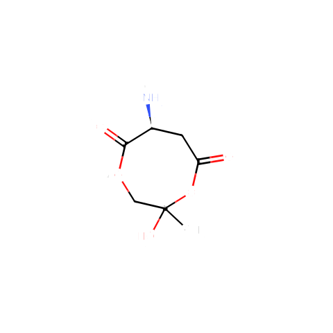 CC1(O)COC(=O)[C@@H](N)CC(=O)O1